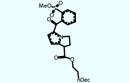 CCCCCCCCCCCCOC(=O)C1CCn2c(C(=O)c3ccccc3S(=O)(=O)OC)ccc21